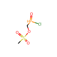 CS(=O)(=O)OC[PH](=O)Cl